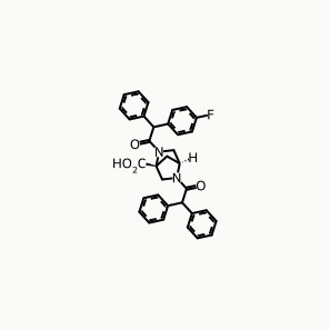 O=C(C(c1ccccc1)c1ccccc1)N1C[C@@]2(C(=O)O)C[C@H]1CN2C(=O)C(c1ccccc1)c1ccc(F)cc1